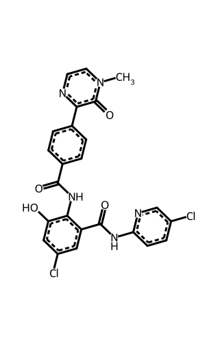 Cn1ccnc(-c2ccc(C(=O)Nc3c(O)cc(Cl)cc3C(=O)Nc3ccc(Cl)cn3)cc2)c1=O